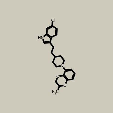 FC(F)(F)C1COc2c(cccc2N2CCC(CCc3c[nH]c4cc(Cl)ccc34)CC2)O1